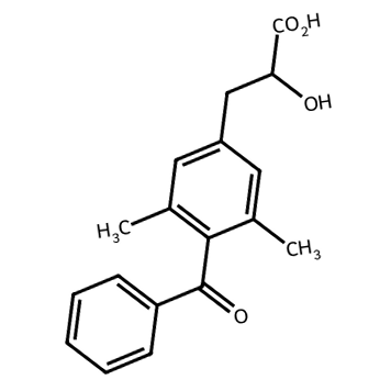 Cc1cc(CC(O)C(=O)O)cc(C)c1C(=O)c1ccccc1